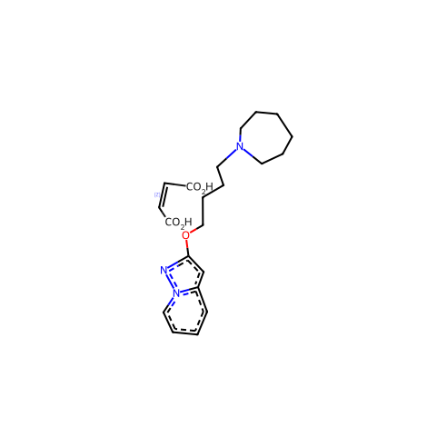 O=C(O)/C=C\C(=O)O.c1ccn2nc(OCCCCN3CCCCCC3)cc2c1